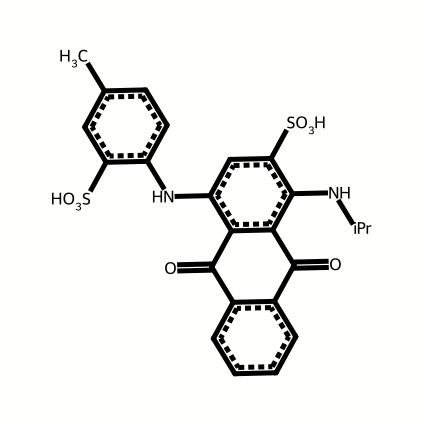 Cc1ccc(Nc2cc(S(=O)(=O)O)c(NC(C)C)c3c2C(=O)c2ccccc2C3=O)c(S(=O)(=O)O)c1